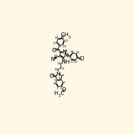 COc1ccc2c(c1)CN(CCCNc1c(C#N)c(C(=O)c3ccc(C)cc3)nn1-c1ccc(Cl)cc1)C2=O